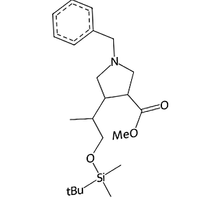 COC(=O)C1CN(Cc2ccccc2)CC1C(C)CO[Si](C)(C)C(C)(C)C